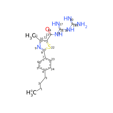 CCCCc1ccc(-c2nc(C)c(C(=O)NC(=N)NC(=N)N)s2)cc1